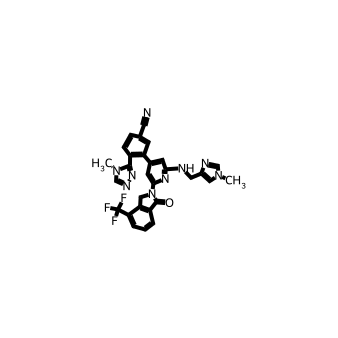 Cn1cnc(CNc2cc(-c3cc(C#N)ccc3-c3nncn3C)cc(N3Cc4c(cccc4C(F)(F)F)C3=O)n2)c1